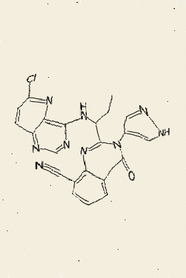 CCC(Nc1ncnc2ccc(Cl)nc12)c1nc2c(C#N)cccc2c(=O)n1-c1cn[nH]c1